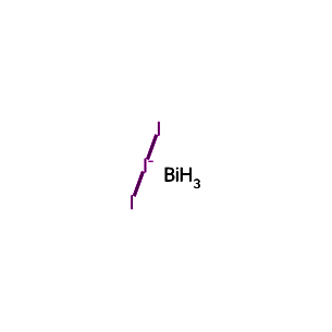 I[I-]I.[BiH3]